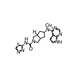 CN(c1ncnc2[nH]ccc12)C1CC2CN(C(=O)Nc3nncs3)C[C@@H]2C1